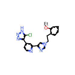 CCOc1ccccc1CCn1cnc(-c2cc(-c3nn[nH]c3Cl)ccn2)c1